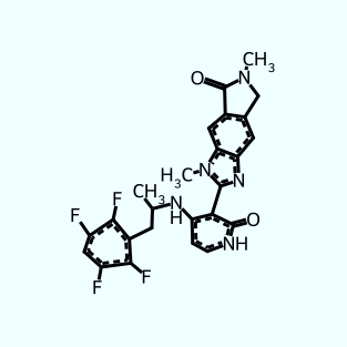 CC(Cc1c(F)c(F)cc(F)c1F)Nc1cc[nH]c(=O)c1-c1nc2cc3c(cc2n1C)C(=O)N(C)C3